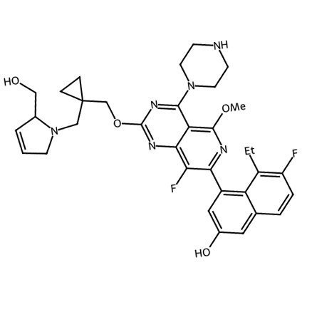 CCc1c(F)ccc2cc(O)cc(-c3nc(OC)c4c(N5CCNCC5)nc(OCC5(CN6CC=CC6CO)CC5)nc4c3F)c12